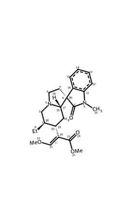 CC[C@H]1CN2CC[C@]3(C(=O)N(C)c4ccccc43)[C@@H]2C[C@@H]1/C(=C\OC)C(=O)OC